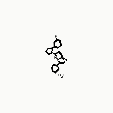 O=C(O)c1cccc(-c2cnc3ccc(N4CCCC4c4cccc(F)c4)nn23)n1